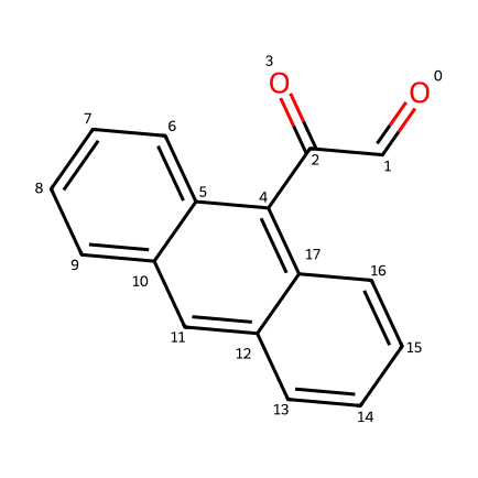 O=CC(=O)c1c2ccccc2cc2ccccc12